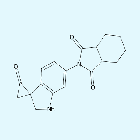 O=C1C2CCCCC2C(=O)N1c1ccc2c(c1)NCC21CC1=O